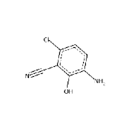 N#Cc1c(Cl)ccc(N)c1O